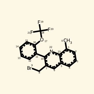 Cc1cccc2cc(CBr)c(-c3ccccc3OC(F)(F)F)nc12